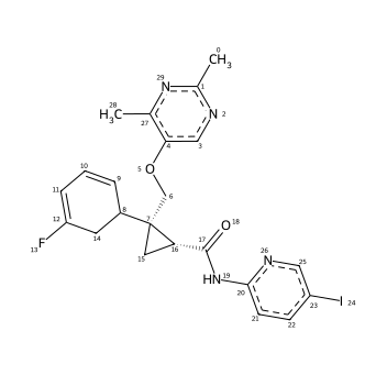 Cc1ncc(OC[C@@]2(C3C=CC=C(F)C3)C[C@H]2C(=O)Nc2ccc(I)cn2)c(C)n1